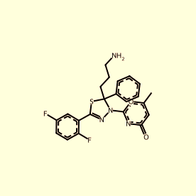 Cc1cc(=O)nc(N2N=C(c3cc(F)ccc3F)SC2(CCCN)c2ccccc2)o1